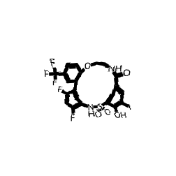 O=C1NCCOc2ccc(C(F)(F)F)cc2-c2cc(c(F)cc2F)NS(=O)(=O)c2cc1cc(I)c2O